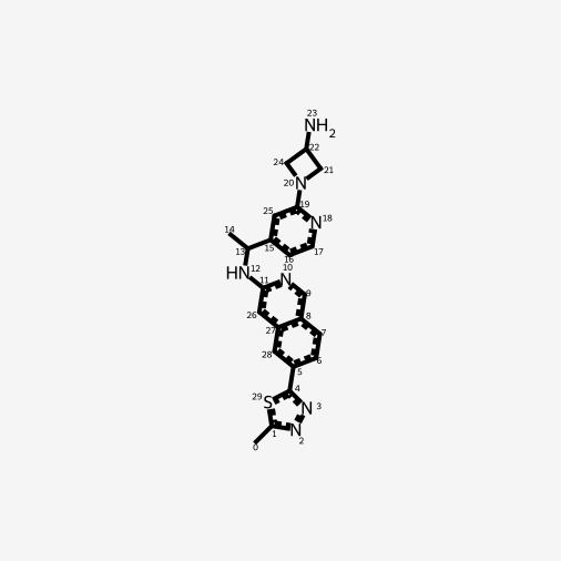 Cc1nnc(-c2ccc3cnc(NC(C)c4ccnc(N5CC(N)C5)c4)cc3c2)s1